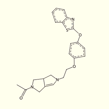 CC(=O)N1CC2=CN(CCOc3ccc(Oc4nc5ccccc5s4)cc3)CC2C1